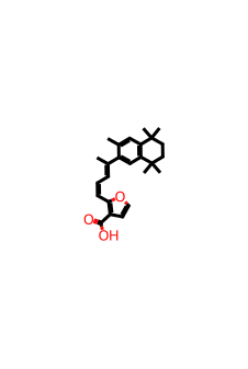 C/C(=C\C=C/c1occc1C(=O)O)c1cc2c(cc1C)C(C)(C)CCC2(C)C